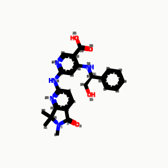 CN1C(=O)c2ccc(Nc3cc(N[C@H](CO)c4ccccc4)c(C(=O)O)cn3)nc2C1(C)C